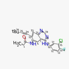 C=CC(=O)Nc1cc2c(Nc3ccc(F)c(Cl)c3)ncnc2cc1C#CC(C)(C)C